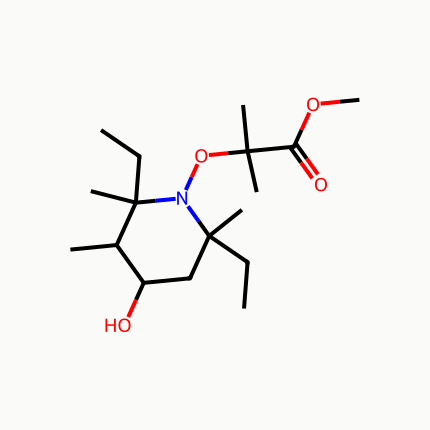 CCC1(C)CC(O)C(C)C(C)(CC)N1OC(C)(C)C(=O)OC